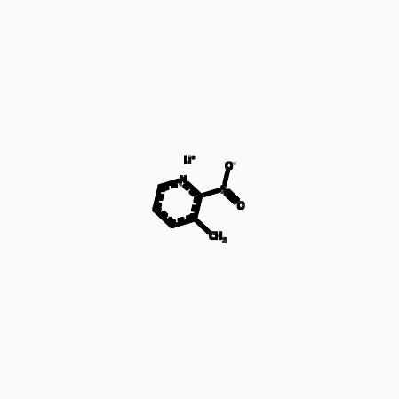 Cc1cccnc1S(=O)[O-].[Li+]